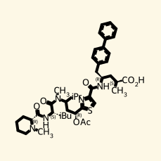 CCC(C)[C@H](NC(=O)[C@H]1CCCCN1C)C(=O)N(C)C(C[C@@H](OC(C)=O)c1nc(C(=O)N[C@@H](Cc2ccc(-c3ccccc3)cc2)C[C@H](C)C(=O)O)cs1)C(C)C